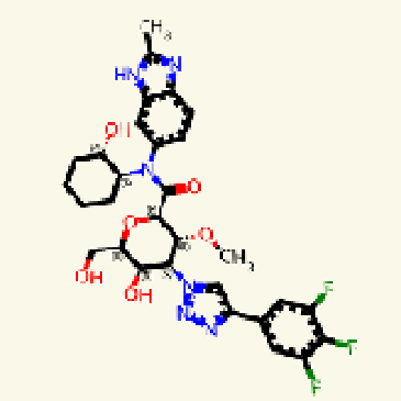 CO[C@@H]1[C@@H](n2cc(-c3cc(F)c(F)c(F)c3)nn2)[C@@H](O)[C@@H](CO)O[C@H]1C(=O)N(c1ccc2nc(C)[nH]c2c1)[C@H]1CCCC[C@@H]1O